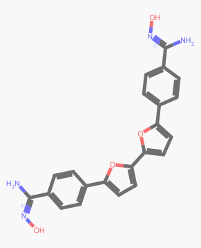 N/C(=N\O)c1ccc(-c2ccc(-c3ccc(-c4ccc(/C(N)=N\O)cc4)o3)o2)cc1